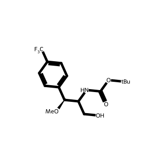 CO[C@@H](c1ccc(C(F)(F)F)cc1)C(CO)NC(=O)OC(C)(C)C